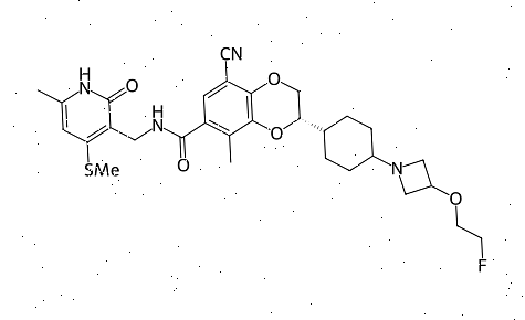 CSc1cc(C)[nH]c(=O)c1CNC(=O)c1cc(C#N)c2c(c1C)O[C@@H](C1CCC(N3CC(OCCF)C3)CC1)CO2